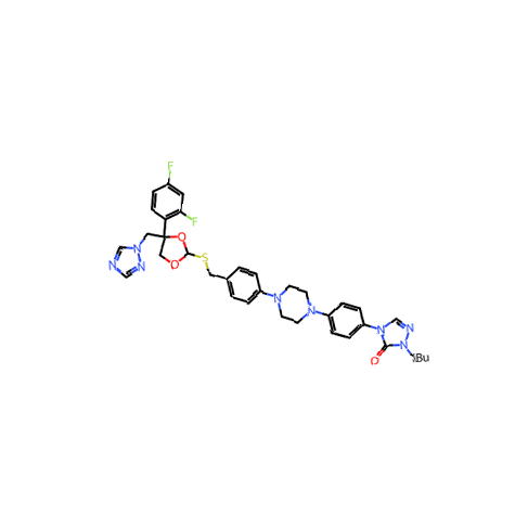 CCC(C)n1ncn(-c2ccc(N3CCN(c4ccc(CSC5OCC(Cn6cncn6)(c6ccc(F)cc6F)O5)cc4)CC3)cc2)c1=O